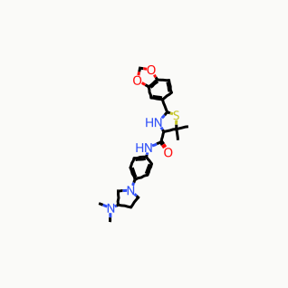 CN(C)C1CCN(c2ccc(NC(=O)C3NC(c4ccc5c(c4)OCO5)SC3(C)C)cc2)C1